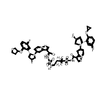 CCN(CCC(C)(C)S(=O)(=O)NC(=O)c1cnn2ccc(N3C[C@@H](F)C[C@@H]3c3cc(F)ccc3OC3CC3)cc12)S(=O)(=O)NC(=O)c1cnn2ccc(N3C[C@@H](F)C[C@@H]3c3cc(F)ccc3OC3CCOC3)cc12